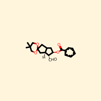 CC1(C)COC2(CC3C[C@@H](OC(=O)c4ccccc4)[C@H](C=O)[C@H]3C2)OC1